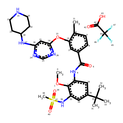 COc1c(NC(=O)c2ccc(C)c(Oc3cc(NC4CCNCC4)ncn3)c2)cc(C(C)(C)C)cc1NS(C)(=O)=O.O=C(O)C(F)(F)F